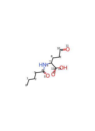 CCCCC(=O)NC(CCC=O)C(=O)O